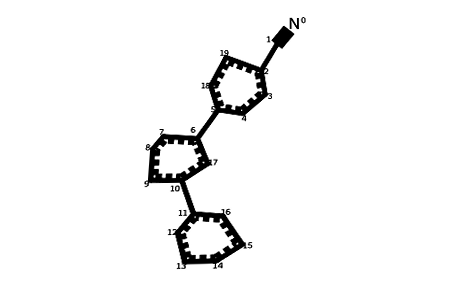 N#Cc1ccc(-c2cccc(-c3ccccc3)c2)cc1